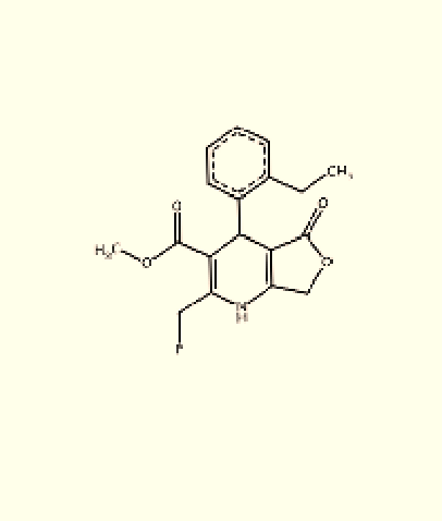 CCc1ccccc1C1C(C(=O)OC)=C(CF)NC2=C1C(=O)OC2